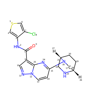 O=C(Nc1cscc1Cl)c1cnn2ccc(N3C[C@@H]4CC[C@H]3CN4)nc12